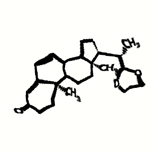 C[C@H](C1OCCO1)[C@H]1CCC2C3C=CC4=CC(=O)CC[C@]4(C)C3CC[C@@]21C